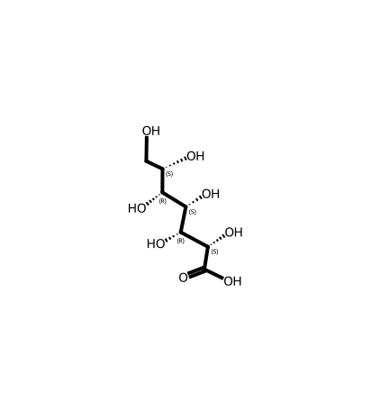 O=C(O)[C@@H](O)[C@H](O)[C@@H](O)[C@H](O)[C@@H](O)CO